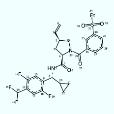 C=C[C@@H]1C[C@H](C(=O)N[C@@H](c2cc(F)c(C(F)F)cc2F)C2CC2)N(C(=O)c2cccc(S(=O)(=O)CC)c2)C1